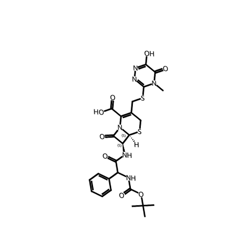 Cn1c(SCC2=C(C(=O)O)N3C(=O)[C@H](NC(=O)C(NC(=O)OC(C)(C)C)c4ccccc4)[C@@H]3SC2)nnc(O)c1=O